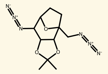 CC1(C)OC2C(N=[N+]=[N-])C3CCC(CN=[N+]=[N-])(O3)C2O1